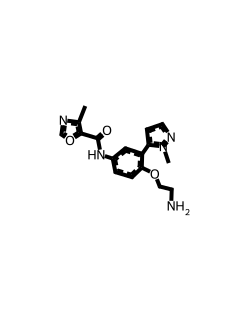 Cc1ncoc1C(=O)Nc1ccc(OCCN)c(-c2ccnn2C)c1